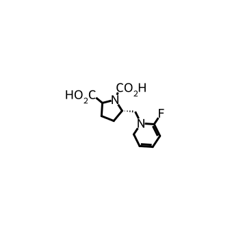 O=C(O)C1CC[C@@H](CN2CC=CC=C2F)N1C(=O)O